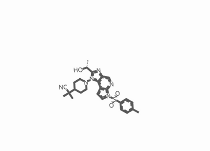 Cc1ccc(S(=O)(=O)n2ccc3c2ncc2nc([C@@H](C)O)n(N4CCC(C(C)(C)C#N)CC4)c23)cc1